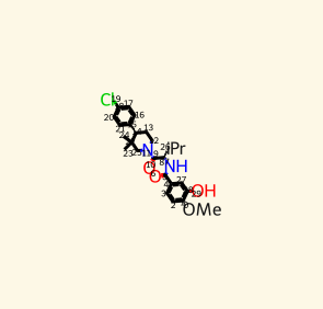 COc1ccc(C(=O)N[C@@H](C(=O)N2CC[C@H](c3ccc(Cl)cc3)C(C)(C)C2)C(C)C)cc1O